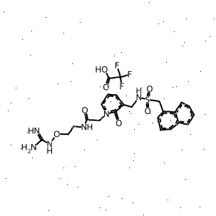 N=C(N)NOCCNC(=O)Cn1cccc(CNS(=O)(=O)Cc2cccc3ccccc23)c1=O.O=C(O)C(F)(F)F